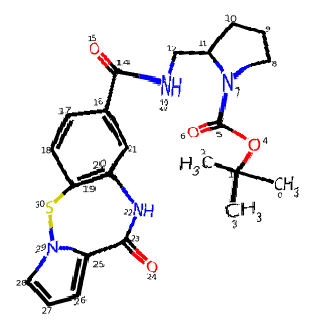 CC(C)(C)OC(=O)N1CCCC1CNC(=O)c1ccc2c(c1)NC(=O)c1cccn1S2